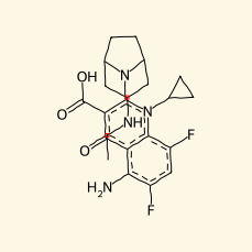 CCNC1CC2CCC(C1)N2c1c(C(=O)O)c(=O)c2c(N)c(F)cc(F)c2n1C1CC1